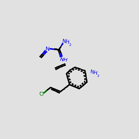 C=C.C=NC(=N)N.ClC=Cc1ccccc1.N